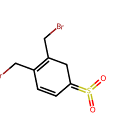 O=S(=O)=C1C=CC(CBr)=C(CBr)C1